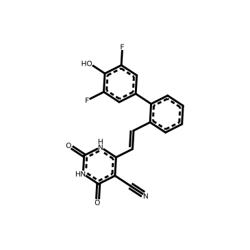 N#Cc1c(C=Cc2ccccc2-c2cc(F)c(O)c(F)c2)[nH]c(=O)[nH]c1=O